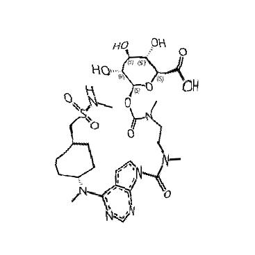 CNS(=O)(=O)C[C@H]1CC[C@H](N(C)c2ncnc3c2ccn3C(=O)N(C)CCN(C)C(=O)O[C@@H]2O[C@H](C(=O)O)[C@@H](O)[C@H](O)[C@H]2O)CC1